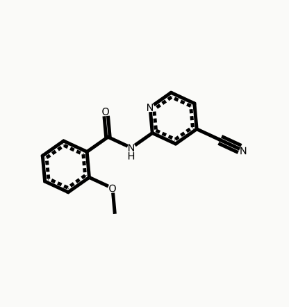 COc1ccccc1C(=O)Nc1cc(C#N)ccn1